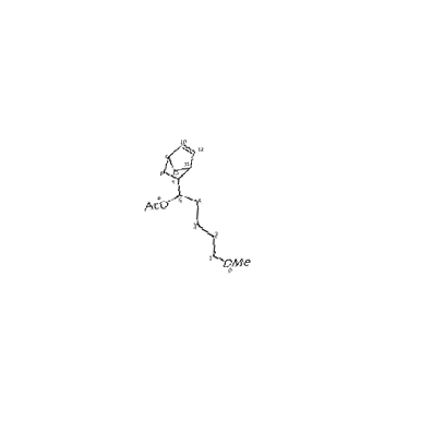 COCCCCC(OC(C)=O)C1CC2C=CC1C2